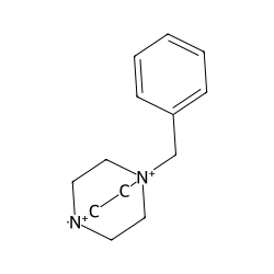 c1ccc(C[N+]23CC[N+](CC2)CC3)cc1